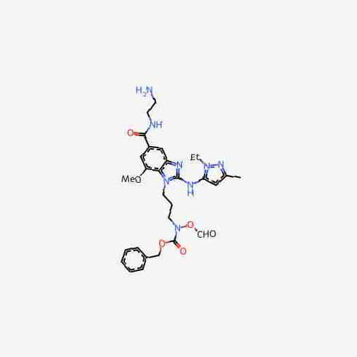 CCn1nc(C)cc1Nc1nc2cc(C(=O)NCCN)cc(OC)c2n1CCCN(OC=O)C(=O)OCc1ccccc1